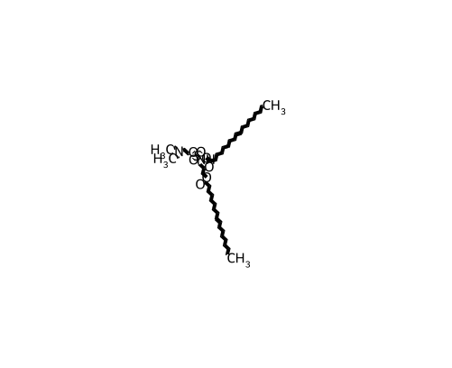 CCCCCCCCC=CCCCCCCCC(=O)OCC(CNS(=O)(=O)OCCN(CC)CC)OC(=O)CCCCCCCC=CCCCCCCCC